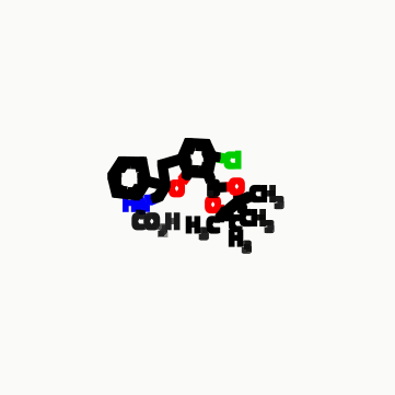 CC1(C)OB(c2c(Cl)ccc3c2OC(CNC(=O)O)(c2ccccc2)C3)OC1(C)C